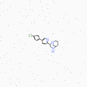 Clc1ccc(-c2ccc(C3CNC4CCCN3C4)nc2)cc1